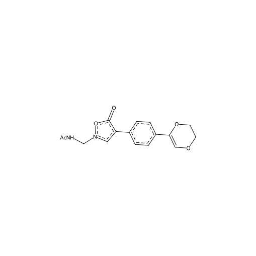 CC(=O)NCn1cc(-c2ccc(C3=COCCO3)cc2)c(=O)o1